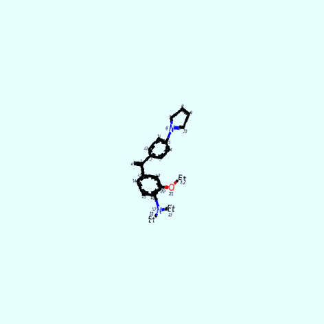 C=C(c1ccc(N2CCCC2)cc1)c1ccc(N(CC)CC)c(OCC)c1